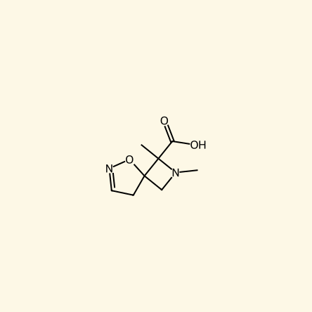 CN1CC2(CC=NO2)C1(C)C(=O)O